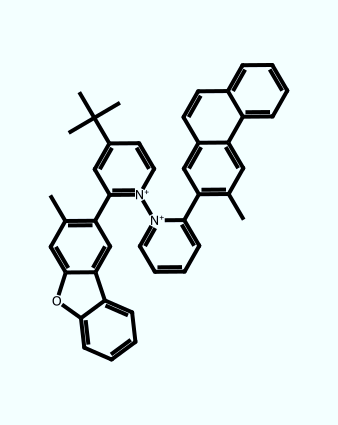 Cc1cc2c(ccc3ccccc32)cc1-c1cccc[n+]1-[n+]1ccc(C(C)(C)C)cc1-c1cc2c(cc1C)oc1ccccc12